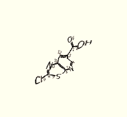 O=C(O)c1cnc2sc(Cl)nc2c1